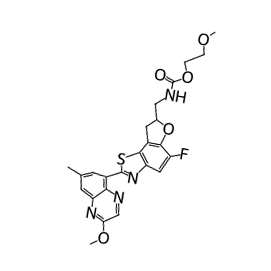 COCCOC(=O)NCC1Cc2c(c(F)cc3nc(-c4cc(C)cc5nc(OC)cnc45)sc23)O1